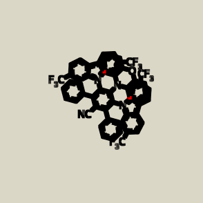 N#Cc1c(-c2ccccc2)c(-n2c3cc(C(F)(F)F)ccc3c3ccc(C(F)(F)F)cc32)c(N2c3ccccc3Oc3ccccc32)c(-n2c3cc(C(F)(F)F)ccc3c3ccc(C(F)(F)F)cc32)c1-c1ccccc1